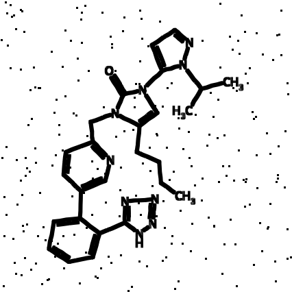 CCCCc1cn(-c2ccnn2C(C)C)c(=O)n1Cc1ccc(-c2ccccc2-c2nnn[nH]2)cn1